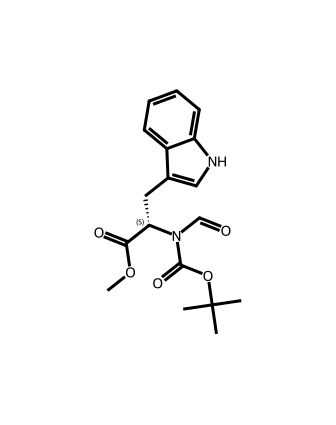 COC(=O)[C@H](Cc1c[nH]c2ccccc12)N(C=O)C(=O)OC(C)(C)C